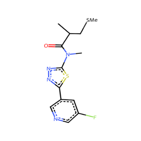 CSCC(C)C(=O)N(C)c1nnc(-c2cncc(F)c2)s1